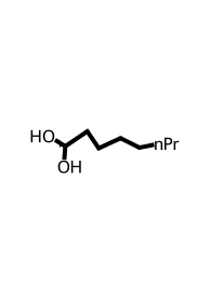 CCCCCCC[C](O)O